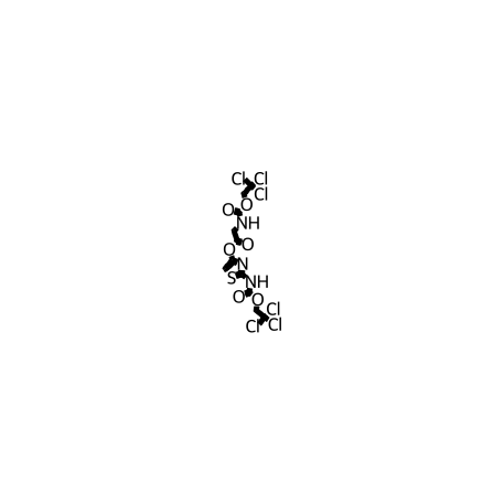 O=C(CNC(=O)OCC(Cl)(Cl)Cl)Oc1csc(NC(=O)OCC(Cl)(Cl)Cl)n1